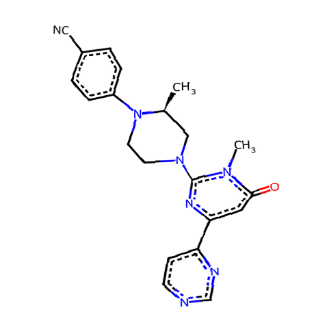 C[C@H]1CN(c2nc(-c3ccncn3)cc(=O)n2C)CCN1c1ccc(C#N)cc1